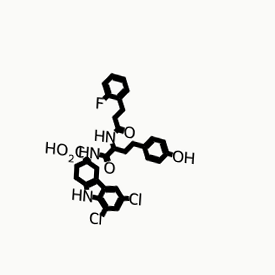 O=C(CCc1ccccc1F)NC(CCc1ccc(O)cc1)C(=O)NC1(C(=O)O)CCc2[nH]c3c(Cl)cc(Cl)cc3c2C1